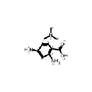 CN(C)C.Nc1ccc(C(=O)O)c(N)c1